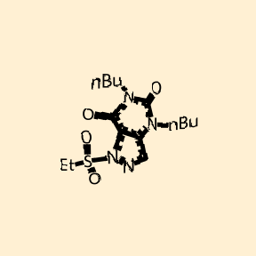 CCCCn1c(=O)c2c(cnn2S(=O)(=O)CC)n(CCCC)c1=O